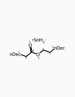 CCCCCCCCCCCCOC(=O)CCCCCCCCCCC.[SnH2]